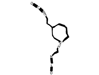 O=C=NCC1CCC[SH](CN=C=O)C1